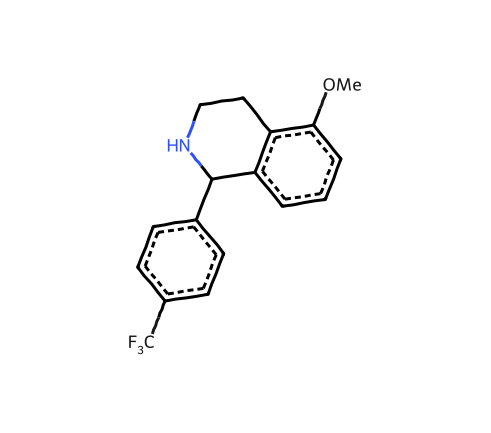 COc1cccc2c1CCNC2c1ccc(C(F)(F)F)cc1